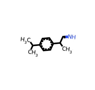 CC(C)c1ccc(C(C)C=N)cc1